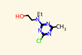 CCN(CCO)c1nc(C)nc(Cl)n1